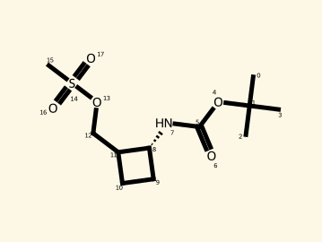 CC(C)(C)OC(=O)N[C@@H]1CCC1COS(C)(=O)=O